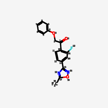 O=C(COc1ccccc1)c1ccc(-c2noc(C(F)(F)F)n2)cc1F